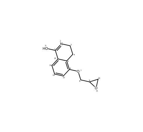 OC1=NCCc2c(OCC3CO3)cccc21